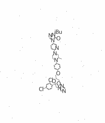 CCC(C)n1ncn(-c2ccc(N3CCN(c4ccc(OCC5COC(Cn6cncn6)(c6ccc(Cl)cc6Cl)O5)cc4)C(C)C3)nc2)c1=O